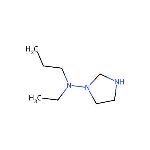 CCCN(CC)N1CCNC1